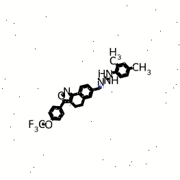 Cc1ccc(NN/N=C/c2ccc3c(c2)CCc2c-3noc2-c2ccc(OC(F)(F)F)cc2)c(C)c1